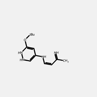 CC(=N)/C=C\NC1=CNNC(OC(C)(C)C)=C1